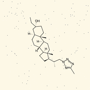 CC[C@@]1(O)CC[C@@]2(C)[C@@H](CC[C@@H]3[C@@H]2CC[C@]2(C)[C@@H]([C@@H](C)Cn4nnc(C)n4)CC[C@@H]32)C1